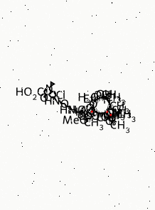 CC[C@H]1OC(=O)[C@H](C)[C@@H](OC2C[C@@](C)(OC)[C@H](OC(=O)CCNCCOCCNc3cc4c(=O)c(C(=O)O)cn(C5CC5)c4cc3Cl)[C@@H](C)O2)[C@H](C)[C@@H](OC2O[C@H](C)C[C@H](N(C)C)[C@H]2O)[C@](C)(O)C[C@@H](C)CN(C)[C@H](C)[C@@H](O)[C@]1(C)O